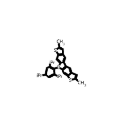 Cc1cc2cc3c(cc2s1)B(c1c(C(C)C)cc(C(C)C)cc1C(C)C)c1cc2sc(C)cc2cc1-3